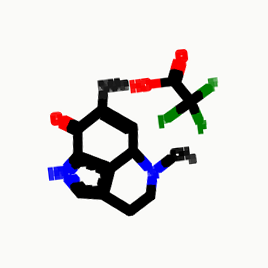 CNC1=CC2c3c(c[nH]c3C1=O)CCN2C.O=C(O)C(F)(F)F